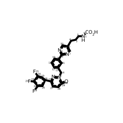 O=C(O)NCCCc1cnc(-c2cccc(Cn3nc(-c4cc(F)c(F)c(F)c4)ccc3=O)c2)nc1